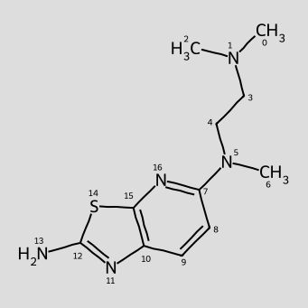 CN(C)CCN(C)c1ccc2nc(N)sc2n1